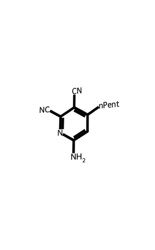 CCCCCc1cc(N)nc(C#N)c1C#N